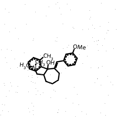 COc1cccc(/C=C2\CCCCC(CN(C)C)C2(O)c2ccccc2C)c1